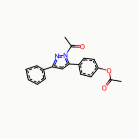 CC(=O)Oc1ccc(-c2cc(-c3ccccc3)nn2C(C)=O)cc1